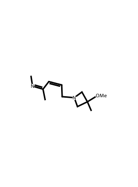 C/N=C(C)\C=C/CN1CC(C)(OC)C1